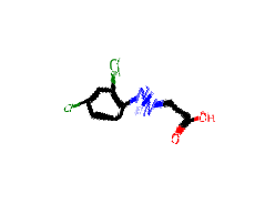 O=C(O)C/N=N/c1ccc(Cl)cc1Cl